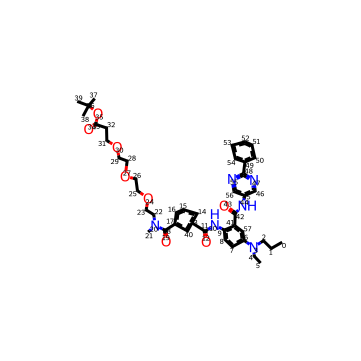 CCCN(CC)c1ccc(NC(=O)c2cccc(C(=O)N(C)CCOCCOCCOCCC(=O)OC(C)(C)C)c2)c(C(=O)Nc2cnc(-c3ccccc3)nc2)c1